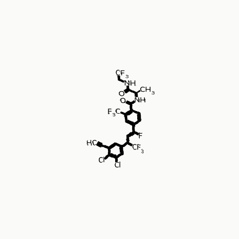 C#Cc1cc(C(/C=C(\F)c2ccc(C(=O)N[C@H](C)C(=O)NCC(F)(F)F)c(C(F)(F)F)c2)C(F)(F)F)cc(Cl)c1Cl